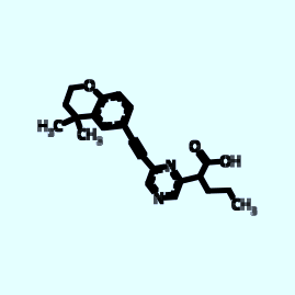 CCCC(C(=O)O)c1cncc(C#Cc2ccc3c(c2)C(C)(C)CCO3)n1